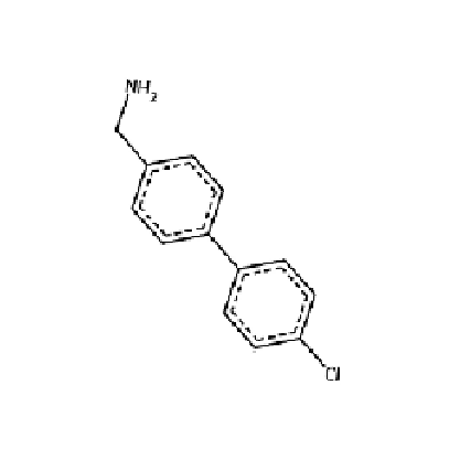 NCc1ccc(-c2c[c]c(Cl)cc2)cc1